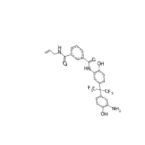 C=CCNC(=O)c1cccc(C(=O)Nc2cc(C(c3ccc(O)c(N)c3)(C(F)(F)F)C(F)(F)F)ccc2O)c1